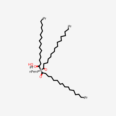 CC(C)O.CCCC[CH2][Ti]([C](=O)CCCCCCCCCCCCCCC(C)C)([C](=O)CCCCCCCCCCCCCCC(C)C)[C](=O)CCCCCCCCCCCCCCC(C)C